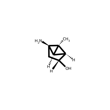 C[C@@]12[C@H]3[C@H](O)C[C@@]1(N)[C@H]32